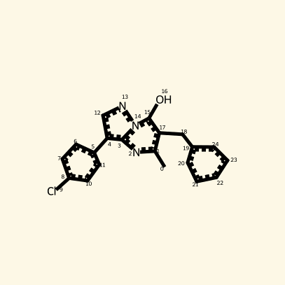 Cc1nc2c(-c3ccc(Cl)cc3)cnn2c(O)c1Cc1ccccc1